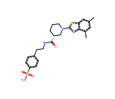 Cc1cc(C)c2nc(N3CCC[C@@H](C(=O)NCCc4ccc(S(N)(=O)=O)cc4)C3)sc2c1